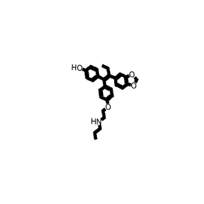 CCCNCCOc1ccc(C(=C(CC)c2ccc3c(c2)OCO3)c2ccc(O)cc2)cc1